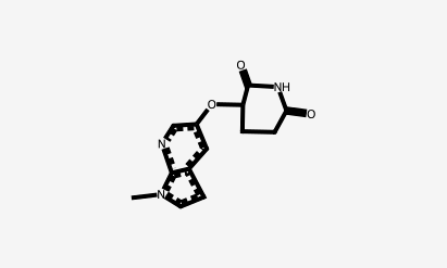 Cn1ccc2cc(OC3CCC(=O)NC3=O)cnc21